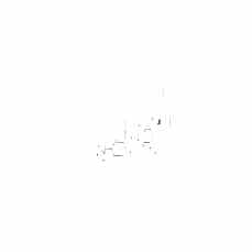 CCCCN(C)c1cc(N2CCCC2)nc(Nc2cc3c(cn2)cnn3C(C)C)n1